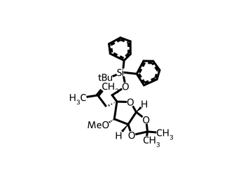 C=C(C)C[C@]1(CO[Si](c2ccccc2)(c2ccccc2)C(C)(C)C)O[C@@H]2OC(C)(C)O[C@@H]2[C@@H]1OC